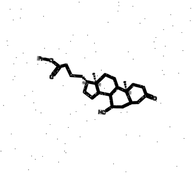 CC(C)OC(=O)CCC[C@H]1CCC2C3C(O)CC4CC(=O)CC[C@]4(C)C3CC[C@@]21C